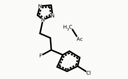 CC(C)=O.FC(CCn1cncn1)c1ccc(Cl)cc1